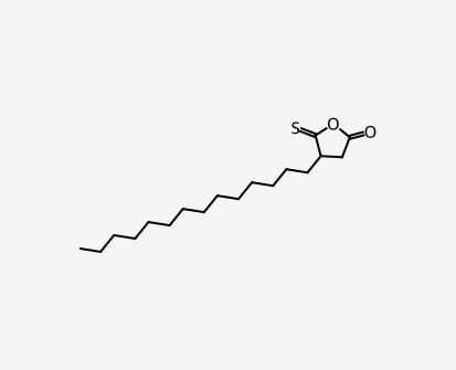 CCCCCCCCCCCCCCC1CC(=O)OC1=S